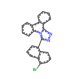 Brc1cccc2c(-c3nnc4c5ccccc5c5ccccc5n34)cccc12